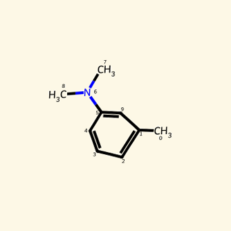 Cc1cc[c]c(N(C)C)c1